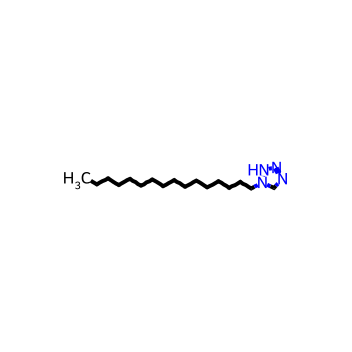 CCCCCCCCCCCCCCCCN1CN=NN1